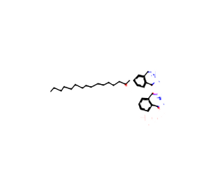 CCCCCCCCCCCCCCC(C)=O.O.O=C1N=NCc2ccccc21.O=C1N=NCc2ccccc21